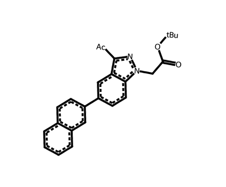 CC(=O)c1nn(CC(=O)OC(C)(C)C)c2ccc(-c3ccc4ccccc4c3)cc12